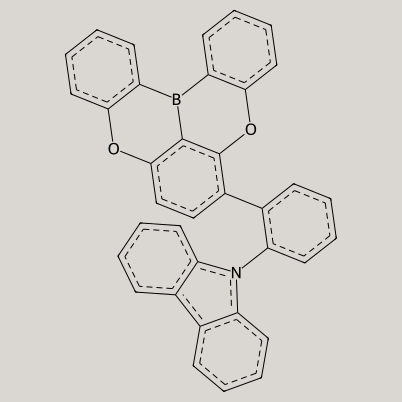 c1ccc2c(c1)Oc1ccc(-c3ccccc3-n3c4ccccc4c4ccccc43)c3c1B2c1ccccc1O3